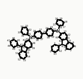 c1ccc(C2c3ccccc3-c3ccc(N(c4ccccc4)c4ccc(-c5ccc(N(c6ccccc6)c6ccc7c(c6)C(c6ccccc6)c6ccccc6-7)cc5)cc4)cc32)cc1